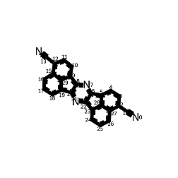 N#Cc1ccc2c3nc4c5ccc(C#N)c6cccc(c4nc3c3cccc1c32)c65